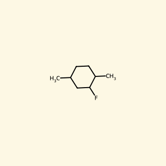 CC1CCC(C)C(F)C1